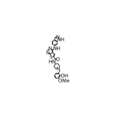 COc1cccc(CN2CCC(NC(=O)c3cc4c(Nc5ccc6cn[nH]c6c5)ncnc4s3)CC2)c1O